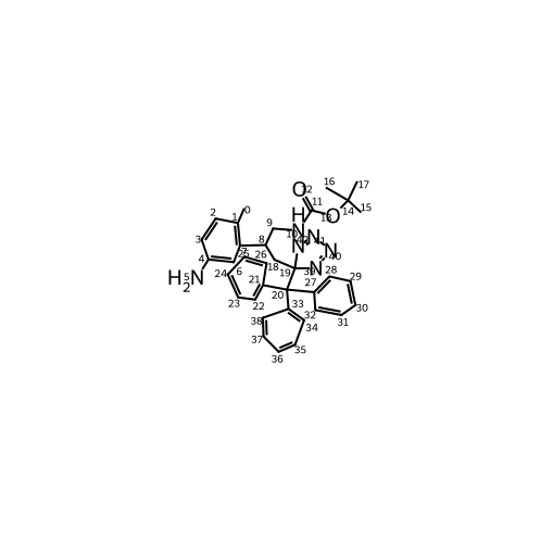 Cc1ccc(N)cc1C(CNC(=O)OC(C)(C)C)CC1(C(c2ccccc2)(c2ccccc2)c2ccccc2)N=NN=N1